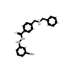 CC(C)(C)c1cccc(NNC(=O)c2ccc(CNCc3ccccc3)cc2)c1